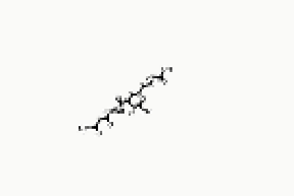 NC(=O)CC(=O)NNC(=O)C(CCCCNC(=O)O)NC(=O)O